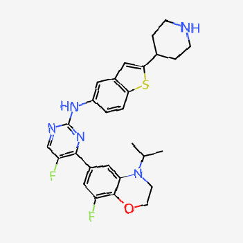 CC(C)N1CCOc2c(F)cc(-c3nc(Nc4ccc5sc(C6CCNCC6)cc5c4)ncc3F)cc21